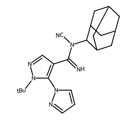 CC(C)(C)n1ncc(C(=N)N(C#N)C2C3CC4CC(C3)CC2C4)c1-n1cccn1